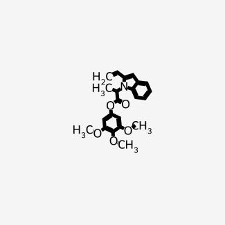 C=Cc1cc2ccccc2n1C(C)C(=O)Oc1cc(OC)c(OC)c(OC)c1